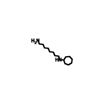 NCCCCCCCCNC1CCCCCC1